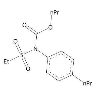 CCCOC(=O)N(c1ccc(CCC)cc1)S(=O)(=O)CC